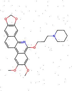 COc1cc2c(OCCCN3CCCCC3)nc3c4cc5c(cc4ccc3c2cc1OC)OCO5